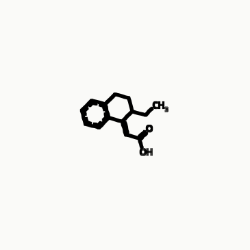 CCC1CCc2ccccc2/C1=C/C(=O)O